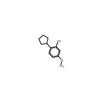 COc1ccc(C2CCCC2)c(O)c1